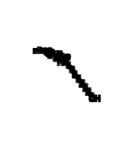 CCCCN1CCN(c2ccc(C(=O)NCCCCCCCCCCCCCCCO)cn2)CC1